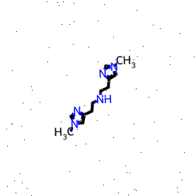 Cn1cnc(CCNCCc2cn(C)cn2)c1